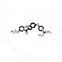 COC1CCCN(C(=O)c2cc3cc(OC4CCN(C(C)C)CC4)ccc3[nH]2)C1